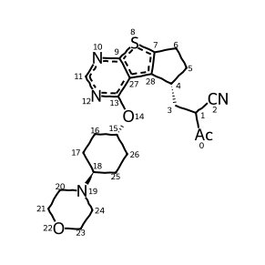 CC(=O)C(C#N)C[C@H]1CCc2sc3ncnc(O[C@H]4CC[C@H](N5CCOCC5)CC4)c3c21